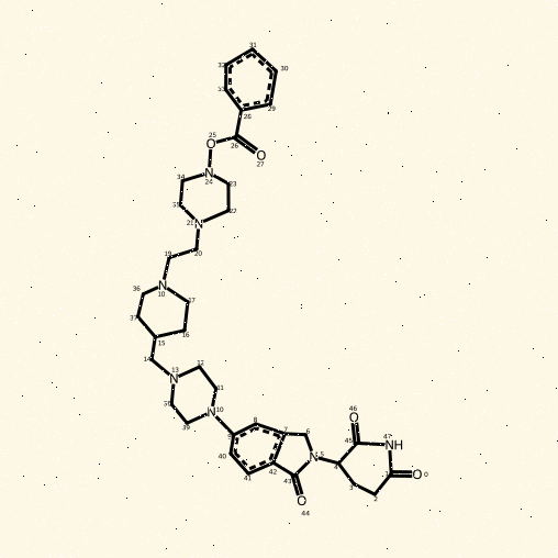 O=C1CCC(N2Cc3cc(N4CCN(CC5CCN(CCN6CCN(OC(=O)c7ccccc7)CC6)CC5)CC4)ccc3C2=O)C(=O)N1